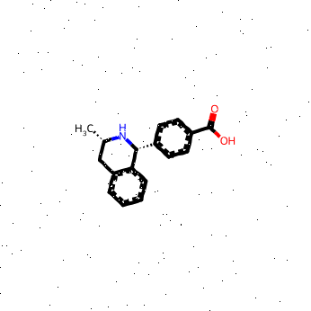 C[C@H]1Cc2ccccc2[C@@H](c2ccc(C(=O)O)cc2)N1